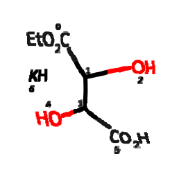 CCOC(=O)C(O)C(O)C(=O)O.[KH]